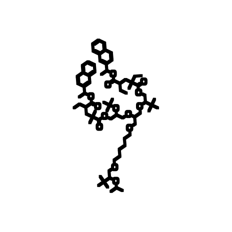 CCC(CC(C)(C)C(=O)OCC(COC(COCCCCCCOCC(OC(C)C)C(C)(C)C)COC(COC(=O)C(C)(CC)CC(CC)C(=O)OC(C)c1ccc2ccccc2c1)C(C)(C)C)OC(C)(C)C)C(=O)OC(C)c1ccc2ccccc2c1